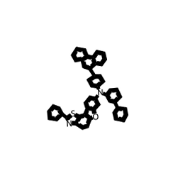 c1ccc(-c2cccc(N(c3ccc(-c4cc5ccccc5c5ccccc45)cc3)c3ccc4c(c3)oc3ccc5nc(-c6ccccc6)sc5c34)c2)cc1